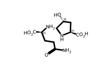 NC(=O)CC[C@H](N)C(=O)O.O=C(O)[C@@H]1C[C@@H](O)CN1